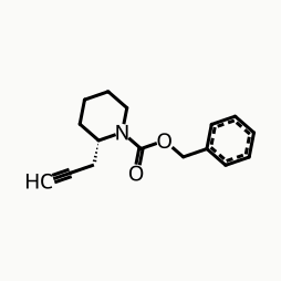 C#CC[C@@H]1CCCCN1C(=O)OCc1ccccc1